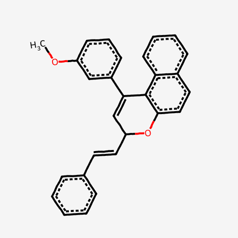 COc1cccc(C2=CC(C=Cc3ccccc3)Oc3ccc4ccccc4c32)c1